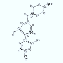 Fc1cc(Cl)ncc1-c1ncc(CN2CCC(F)CC2)cc1F